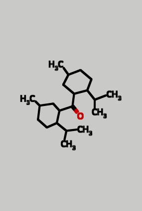 CC1CCC(C(C)C)C(C(=O)C2CC(C)CCC2C(C)C)C1